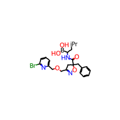 CC(C)CC(NC(=O)C1(Cc2ccccc2)CC(COCc2cccc(Br)n2)=NO1)B(O)O